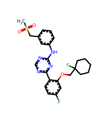 CS(=O)(=O)Cc1cccc(Nc2ncnc(-c3ccc(F)cc3OCC3(F)CCCCC3)n2)c1